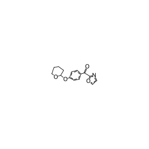 O=C(c1ccc(OC2CCCCO2)cc1)c1ncco1